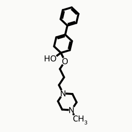 CN1CCN(CCCOC2(O)C=CC(c3ccccc3)=CC2)CC1